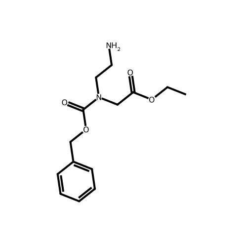 CCOC(=O)CN(CCN)C(=O)OCc1ccccc1